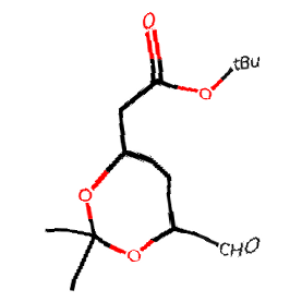 CC(C)(C)OC(=O)CC1CC(C=O)OC(C)(C)O1